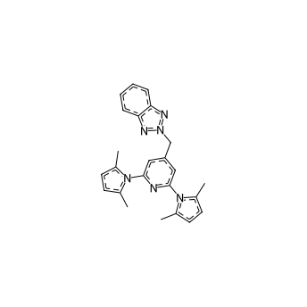 Cc1ccc(C)n1-c1cc(Cn2nc3ccccc3n2)cc(-n2c(C)ccc2C)n1